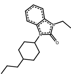 CCCC1CCC(n2c(=O)n(CC)c3ccccc32)CC1